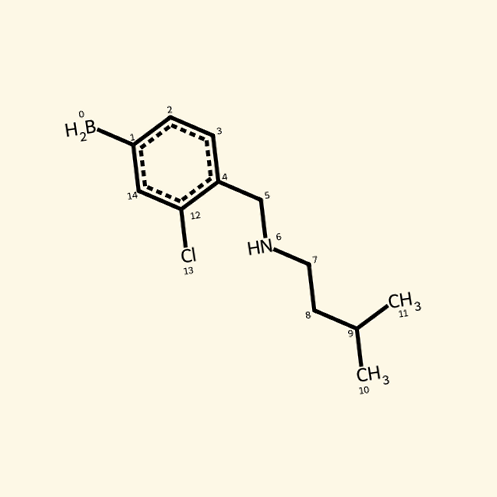 Bc1ccc(CNCCC(C)C)c(Cl)c1